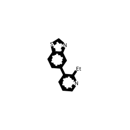 CCc1ncccc1-c1ccc2scnc2c1